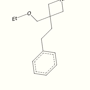 CCOCC1(CCc2ccccc2)CNC1